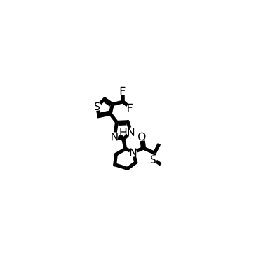 CSC(C)C(=O)N1CCCCC1c1nc(-c2cscc2C(F)F)c[nH]1